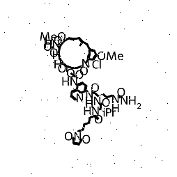 COc1cc2cc(c1Cl)N(C)C(=O)C[C@H](OC(=O)Nc1ccc(NC(=O)[C@H](CCCNC(N)=O)NC(=O)[C@@H](NC(=O)CCCCCN3C(=O)C=CC3=O)C(C)C)c3ncccc13)[C@]1(C)O[C@H]1[C@H](C)[C@@H]1C[C@@](O)(NC(=O)O1)[C@H](OC)/C=C/C=C(\C)C2